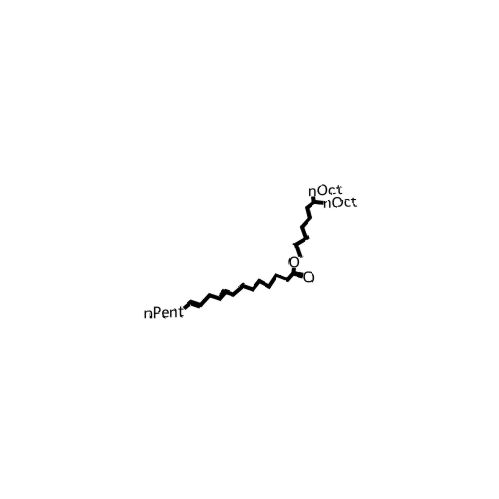 CCCCCC=CCC=CCCCCCCCC(=O)OCCCCCCC(CCCCCCCC)CCCCCCCC